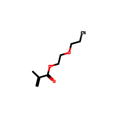 C=C(C)C(=O)OCCOCCC#N